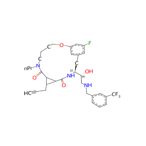 C#CCC1C2C(=O)N[C@H]([C@H](O)CNCc3cccc(C(F)(F)F)c3)Cc3cc(F)cc(c3)OCCCCN(CCC)C(=O)C12